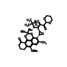 C=C(C(=O)C1OCCCO1)C(O[Si](C)(C)C)[C@H]1O[C@@H]1c1c(C)cc2c(OC)c3c(c4c2c1O[Si](C(C)(C)C)(C(C)(C)C)O4)C(=O)CCC3